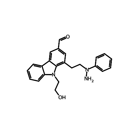 NN(CCc1cc(C=O)cc2c3ccccc3n(CCO)c12)c1ccccc1